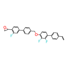 C=Cc1ccc(-c2ccc(OCc3ccc(-c4ccc(C5CO5)c(F)c4)cc3)c(F)c2F)cc1